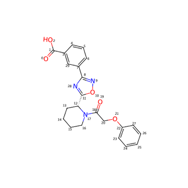 O=C(O)c1cccc(-c2noc([C@H]3CCCCN3C(=O)COc3ccccc3)n2)c1